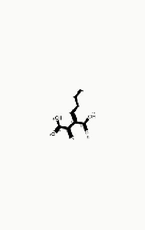 C=C(C(=O)O)C(=CCCC)C(=O)O